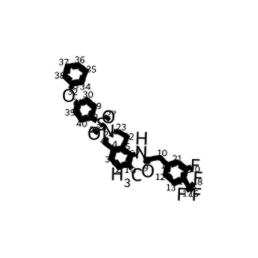 Cc1ccc2c(c1NC(=O)Cc1ccc(C(F)(F)F)c(F)c1)CCN(S(=O)(=O)c1ccc(Oc3ccccc3)cc1)C2